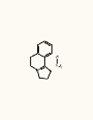 O=[N+]([O-])[O-].c1ccc2c(c1)CC[N+]1=C2CCC1